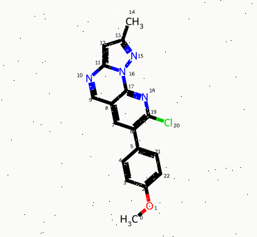 COc1ccc(-c2cc3cnc4cc(C)nn4c3nc2Cl)cc1